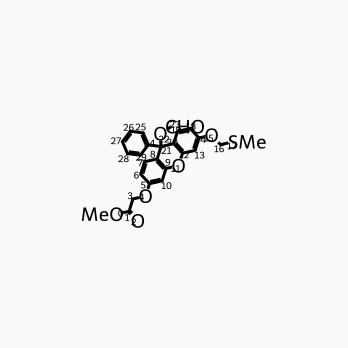 COC(=O)COc1ccc2c(c1)Oc1cc(OCSC)ccc1C2(OC=O)c1ccccc1